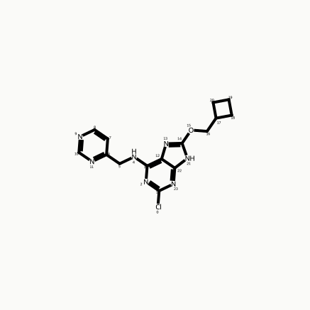 Clc1nc(NCc2ccncn2)c2nc(OCC3CCC3)[nH]c2n1